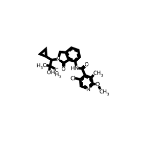 COc1ncc(Cl)c(C(=O)Nc2cccc3c2C(=O)N(C(C2CC2)C(C)(C)O)C3)c1C